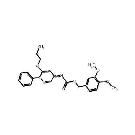 CCCOc1cc(=NC(=O)OCc2ccc(OC)c(OC)c2)cnn1-c1ccccc1